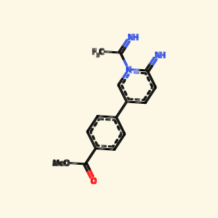 COC(=O)c1ccc(-c2ccc(=N)n(C(=N)C(F)(F)F)c2)cc1